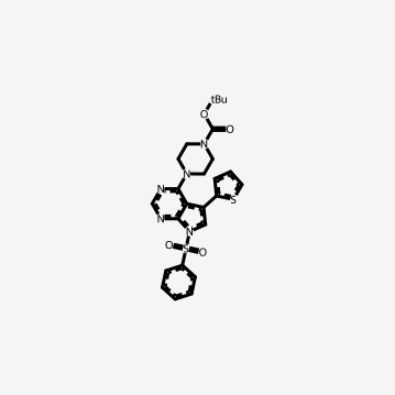 CC(C)(C)OC(=O)N1CCN(c2ncnc3c2c(-c2cccs2)cn3S(=O)(=O)c2ccccc2)CC1